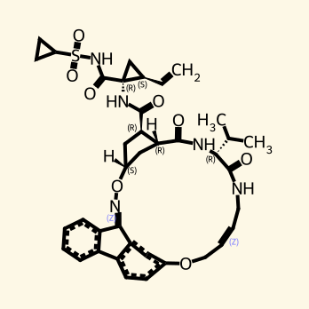 C=C[C@@H]1C[C@]1(NC(=O)[C@@H]1C[C@@H]2C[C@H]1C(=O)N[C@H](C(C)C)C(=O)NC/C=C\COc1ccc3c(c1)/C(=N\O2)c1ccccc1-3)C(=O)NS(=O)(=O)C1CC1